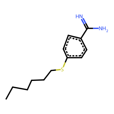 CCCCCCSc1ccc(C(=N)N)cc1